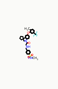 CNS(=O)(=O)c1ccc(CNCC(=O)N2CC3(CCCC3)c3cc(Oc4cc(C(F)(F)F)ccc4C)ccc32)cc1